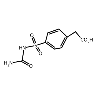 NC(=O)NS(=O)(=O)c1ccc(CC(=O)O)cc1